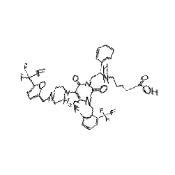 Cc1c(N2CCN(Cc3ccc(C(F)(F)F)o3)CC2)c(=O)n(C[C@H](NCCCCC(=O)O)c2ccccc2)c(=O)n1Cc1c(F)cccc1C(F)(F)F